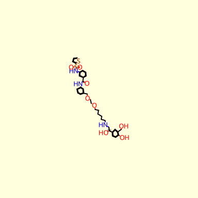 O=C(Nc1cccc(COCCOCCCCCCNC[C@H](O)c2ccc(O)c(CO)c2)c1)c1cccc(NS(=O)(=O)c2cccs2)c1